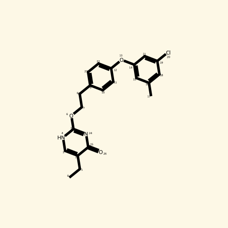 CCc1c[nH]c(OCCc2ccc(Oc3cc(C)cc(Cl)c3)cc2)nc1=O